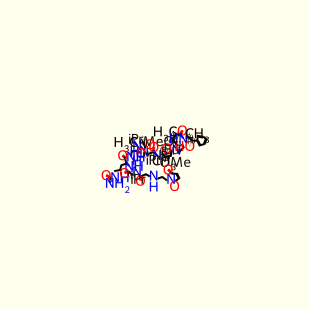 CC[C@H](C)[C@@H]([C@@H](CC(=O)N1CCC[C@H]1[C@H](OC)[C@@H](C)C(=O)N[C@H](C)[C@@H](O)c1ccccc1)OC)N(C)C(=O)[C@@H](NC(=O)[C@H](C(C)C)N(C)C(=O)CNC(=O)C(CCCNC(N)=O)NC(=O)[C@@H](NC(=O)CCNCCCN1C(=O)C=CC1=O)C(C)C)C(C)C